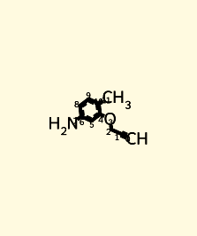 C#CCOc1cc(N)ccc1C